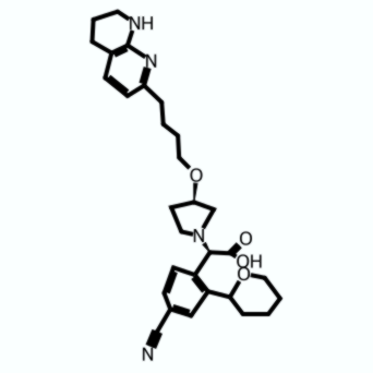 N#Cc1ccc([C@H](C(=O)O)N2CC[C@@H](OCCCCc3ccc4c(n3)NCCC4)C2)c(C2CCCCO2)c1